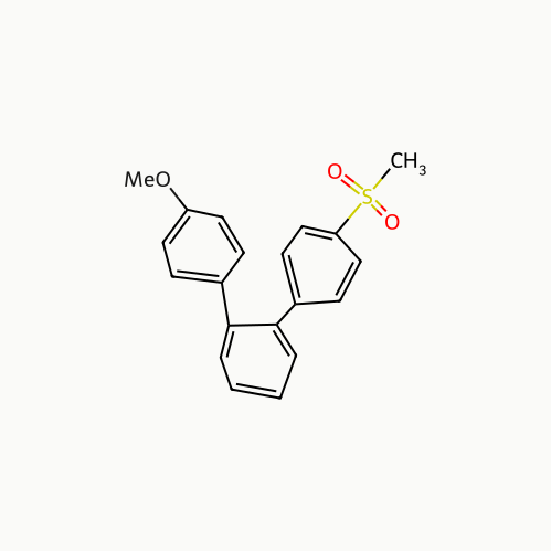 COc1ccc(-c2ccccc2-c2ccc(S(C)(=O)=O)cc2)cc1